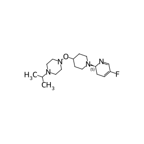 CC(C)N1CCN(OC2CCN([C@@H]3CC=C(F)C=N3)CC2)CC1